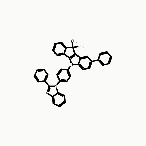 CC1(C)c2ccccc2-c2c1c1cc(-c3ccccc3)ccc1n2-c1ccc(-n2c(-c3ccccc3)nc3ccccc32)cc1